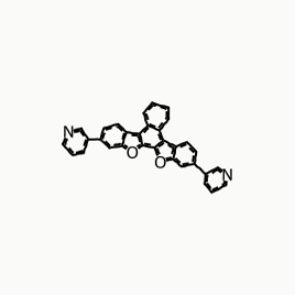 c1cncc(-c2ccc3c(c2)oc2c4oc5cc(-c6cccnc6)ccc5c4c4ccccc4c32)c1